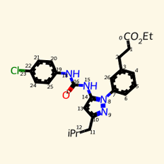 CCOC(=O)CCc1cccc(-n2nc(CC(C)C)cc2NC(=O)Nc2ccc(Cl)cc2)c1